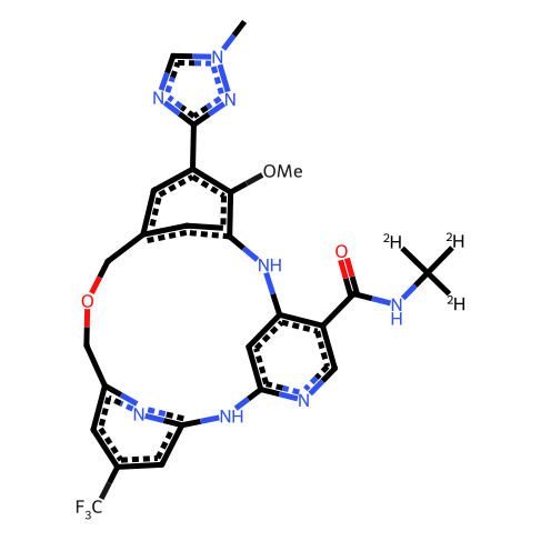 [2H]C([2H])([2H])NC(=O)c1cnc2cc1Nc1cc(cc(-c3ncn(C)n3)c1OC)COCc1cc(C(F)(F)F)cc(n1)N2